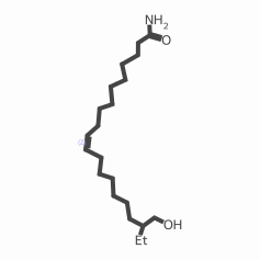 CCC(CO)CCCCCC/C=C\CCCCCCCCC(N)=O